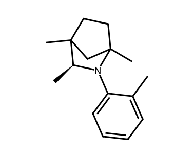 Cc1ccccc1N1[C@@H](C)C2(C)CCC1(C)C2